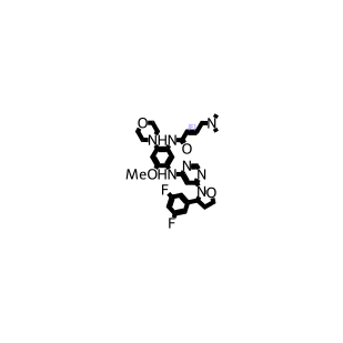 COc1cc(N2CCOCC2)c(NC(=O)/C=C/CN(C)C)cc1Nc1cc(N2OCCC2c2cc(F)cc(F)c2)ncn1